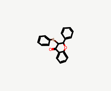 O=C1c2ccccc2OC(c2ccccc2)C1Sc1ccccc1